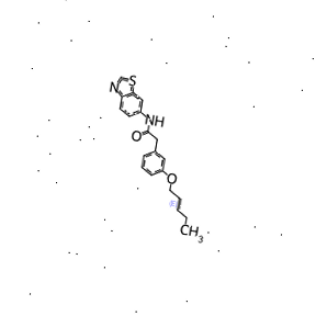 CC/C=C/COc1cccc(CC(=O)Nc2ccc3ncsc3c2)c1